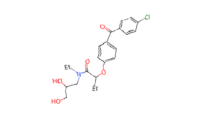 CCC(Oc1ccc(C(=O)c2ccc(Cl)cc2)cc1)C(=O)N(CC)CC(O)CO